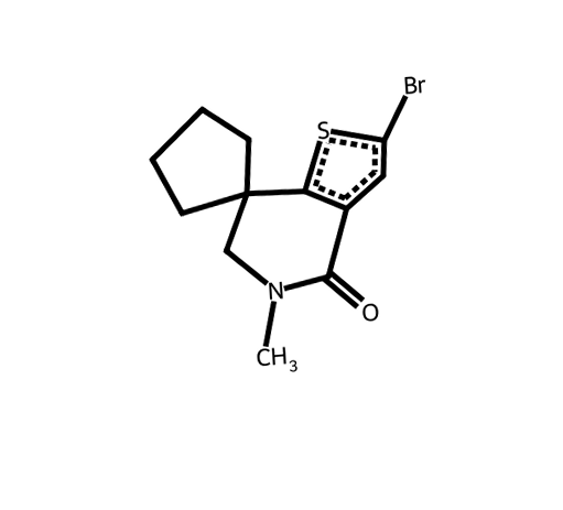 CN1CC2(CCCC2)c2sc(Br)cc2C1=O